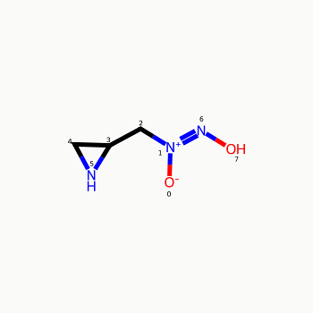 [O-][N+](CC1CN1)=NO